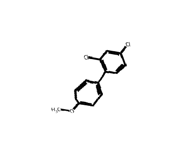 COc1ccc(-c2ccc(Cl)[c]c2Cl)cc1